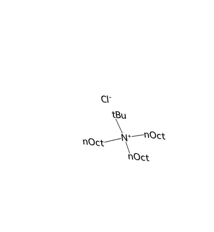 CCCCCCCC[N+](CCCCCCCC)(CCCCCCCC)C(C)(C)C.[Cl-]